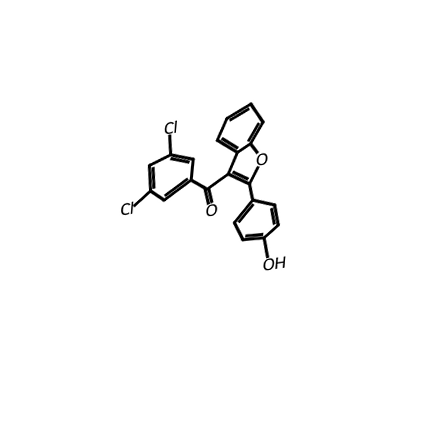 O=C(c1cc(Cl)cc(Cl)c1)c1c(-c2ccc(O)cc2)oc2ccccc12